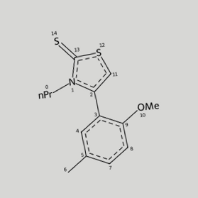 CCCn1c(-c2cc(C)ccc2OC)csc1=S